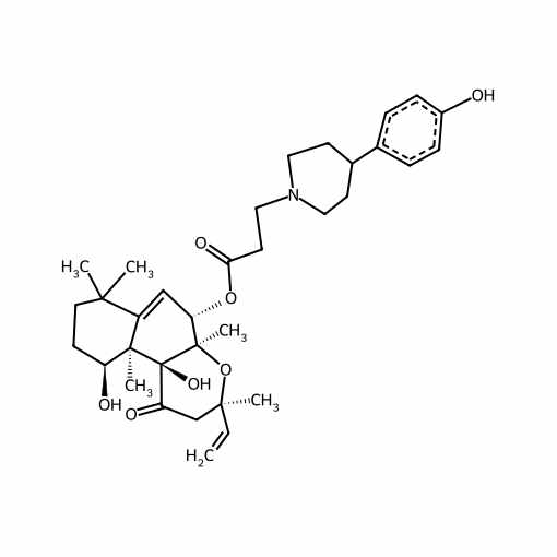 C=C[C@@]1(C)CC(=O)[C@@]2(O)[C@](C)(O1)[C@@H](OC(=O)CCN1CCC(c3ccc(O)cc3)CC1)C=C1C(C)(C)CC[C@H](O)[C@@]12C